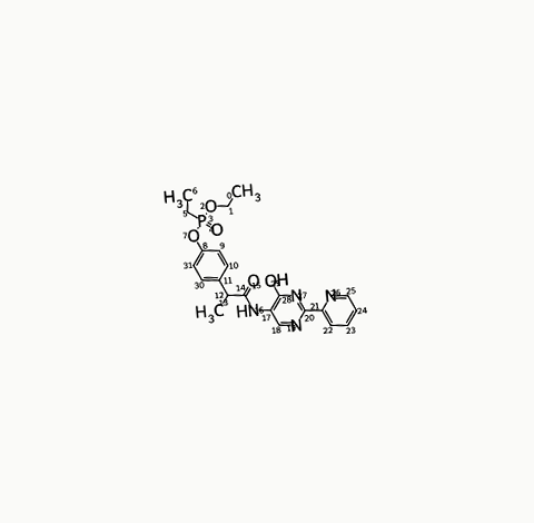 CCOP(=O)(CC)Oc1ccc(C(C)C(=O)Nc2cnc(-c3ccccn3)nc2O)cc1